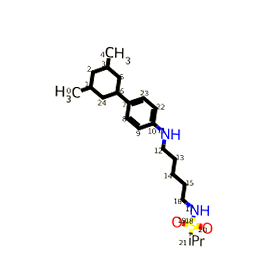 CC1CC(C)CC(c2ccc(NCCCCCNS(=O)(=O)C(C)C)cc2)C1